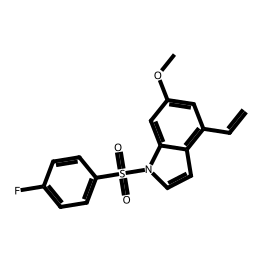 C=Cc1cc(OC)cc2c1ccn2S(=O)(=O)c1ccc(F)cc1